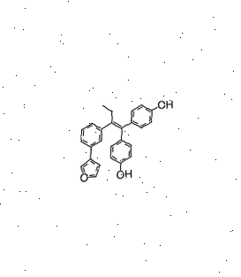 CCC(=C(c1ccc(O)cc1)c1ccc(O)cc1)c1cccc(-c2ccoc2)c1